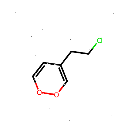 ClCCC1=COOC=C1